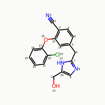 N#Cc1ccc(Cc2ncc(CO)[nH]2)cc1Oc1ccccc1Cl